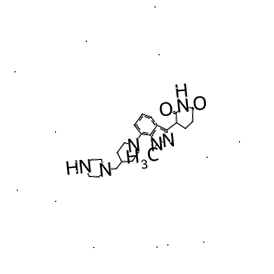 Cn1nc(C2CCC(=O)NC2=O)c2cccc(N3CCC(CN4CCNCC4)CC3)c21